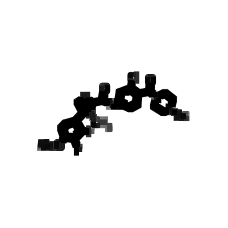 COc1ccc(-c2cnc(C(=O)Nc3ccc(C(=O)N4CCN(C(C)=O)CC4)c(Cl)c3)n2C)c(F)c1F